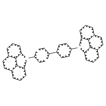 c1cc2ccc3cccc4c3c2c(c1)n4-c1ccc(-c2cnc(-n3c4cccc5ccc6cccc3c6c54)cn2)cc1